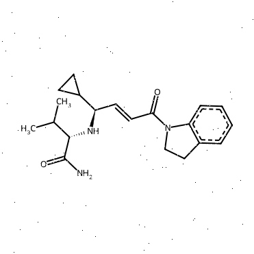 CC(C)[C@H](N[C@H](/C=C/C(=O)N1CCc2ccccc21)C1CC1)C(N)=O